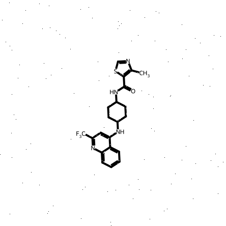 Cc1ncsc1C(=O)NC1CCC(Nc2cc(C(F)(F)F)nc3ccccc23)CC1